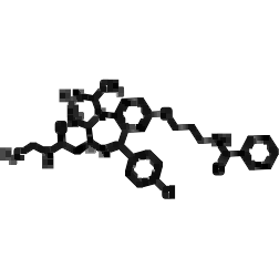 CCNC(=O)C[C@@H]1N=C(c2ccc(Cl)cc2)c2cc(OCCCNC(=O)c3ccccc3)ccc2N(C(C)N)C1N